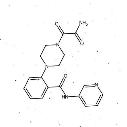 NC(=O)C(=O)N1CCN(c2ccccc2C(=O)Nc2cccnc2)CC1